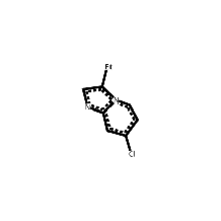 CCc1cnc2cc(Cl)ccn12